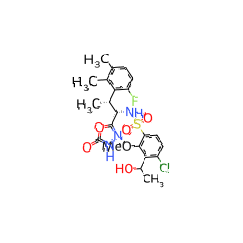 COc1c(S(=O)(=O)N[C@H](c2n[nH]c(=O)o2)[C@H](C)c2c(F)ccc(C)c2C)ccc(Cl)c1C(C)O